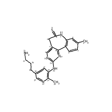 Cc1ccc2c(c1)NC(=S)Cc1cnc(Nc3cc(CCCN)cnc3C)nc1-2